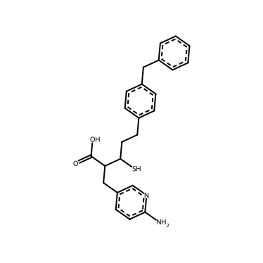 Nc1ccc(CC(C(=O)O)C(S)CCc2ccc(Cc3ccccc3)cc2)cn1